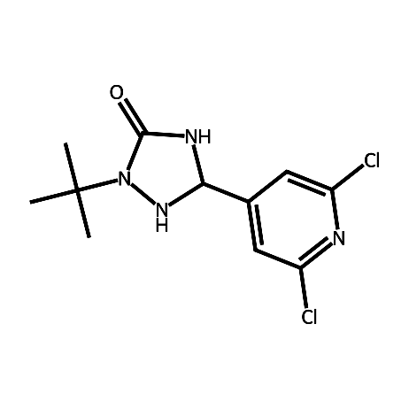 CC(C)(C)N1NC(c2cc(Cl)nc(Cl)c2)NC1=O